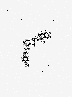 O=c1c2ccccc2ccn1CCNCc1ccnc(CCCOc2ccc(Br)cc2)c1